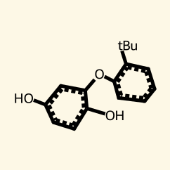 CC(C)(C)c1ccccc1Oc1cc(O)ccc1O